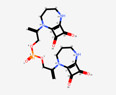 C=C(CO[PH](=O)OCC(=C)N1CCCNc2c1c(=O)c2=O)N1CCCNc2c1c(=O)c2=O